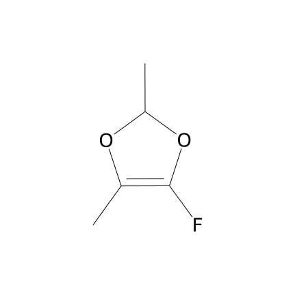 CC1=C(F)OC(C)O1